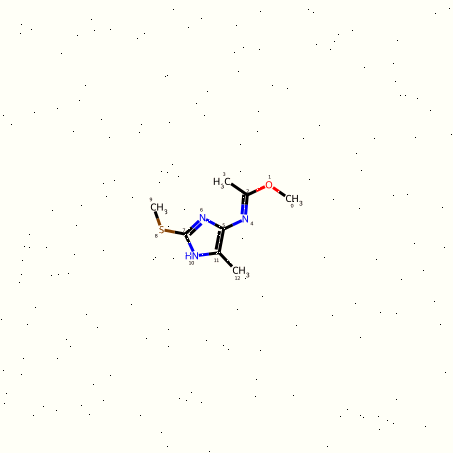 CO/C(C)=N/c1nc(SC)[nH]c1C